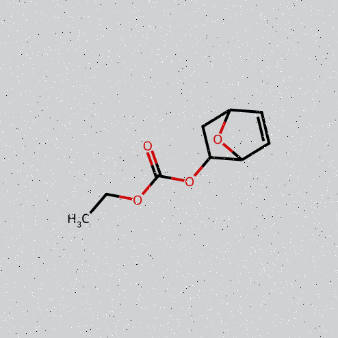 CCOC(=O)OC1CC2C=CC1O2